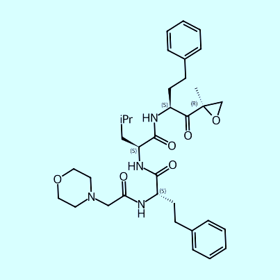 CC(C)C[C@H](NC(=O)[C@H](CCc1ccccc1)NC(=O)CN1CCOCC1)C(=O)N[C@@H](CCc1ccccc1)C(=O)[C@@]1(C)CO1